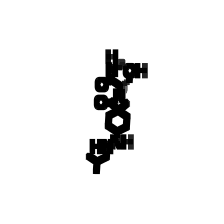 CC(C)CNNC1CCC2(CC1)CN([C@@H](CO)C(N)=O)C2=O